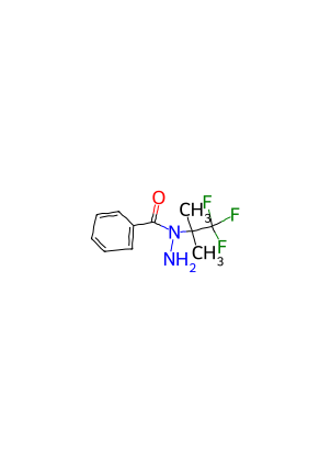 CC(C)(N(N)C(=O)c1ccccc1)C(F)(F)F